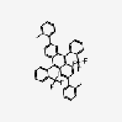 Cc1ccccc1-c1ccc2c(-c3ccccc3C(F)(F)F)c3cc(-c4ccccc4C)ccc3c(-c3ccccc3C(F)(F)F)c2c1